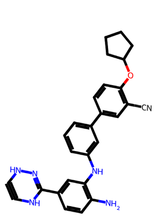 N#Cc1cc(-c2cccc(Nc3cc(C4=NNC#CN4)ccc3N)c2)ccc1OC1CCCC1